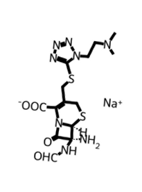 CN(C)CCn1nnnc1SCC1=C(C(=O)[O-])N2C(=O)[C@](N)(NC=O)[C@@H]2SC1.[Na+]